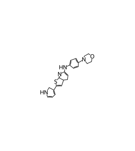 C1=CNCC(C2=CC3CC=C(Nc4ccc(N5CCOCC5)cc4)N=C3S2)=C1